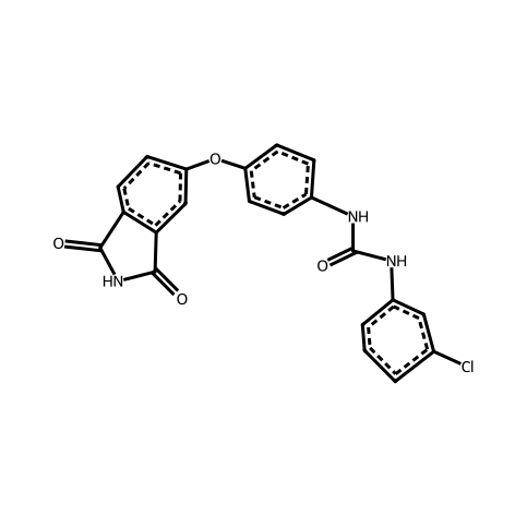 O=C(Nc1ccc(Oc2ccc3c(c2)C(=O)NC3=O)cc1)Nc1cccc(Cl)c1